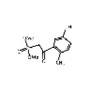 COP(=O)(CC(=O)c1cc(C)ccc1C)OC